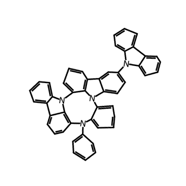 c1ccc(-n2c3ccccc3n3c4ccc(-n5c6ccccc6c6ccccc65)cc4c4cccc(c43)n3c4ccccc4c4cccc2c43)cc1